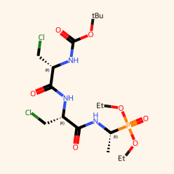 CCOP(=O)(OCC)[C@H](C)NC(=O)[C@H](CCl)NC(=O)[C@H](CCl)NC(=O)OC(C)(C)C